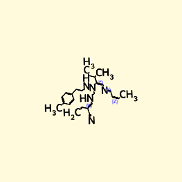 C=C/C(C#N)=C\NCN(NCCc1ccc(C)cc1)\C(=C/N=C/C=C\C)C(C)CC